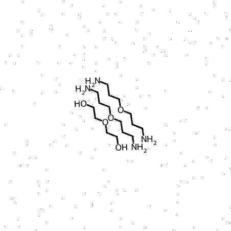 NCCCOCCCN.NCCCOCCCN.OCCOCCO